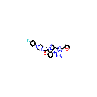 C[C@](C(=O)N1CCN(c2ccc(F)cc2)CC1)(c1ccccc1)n1ncc2c1nc(N)n1nc(-c3ccco3)nc21